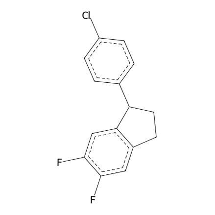 Fc1cc2c(cc1F)C(c1ccc(Cl)cc1)CC2